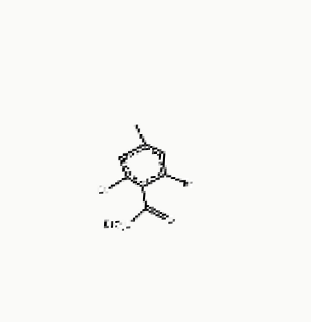 CCOC(=O)C(=O)c1c(CC)cc(C)cc1CC